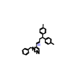 Cc1ccc(C(C/C=C/c2cncn2Cc2ccccc2)c2ccc(C)cc2)cc1